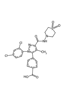 Cc1c(C(=O)NN2CCS(=O)(=O)CC2)nn(-c2ccc(Cl)cc2Cl)c1-c1ccc(C(=O)O)cc1